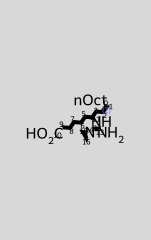 CCCCCCCC/C=C\CCCCCCCC(=O)O.N=C(N)N1CC1